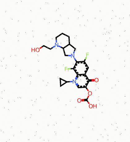 O=C(O)Oc1cn(C2CC2)c2c(F)c(N3CC4CCCN(CCO)C4C3)c(F)cc2c1=O